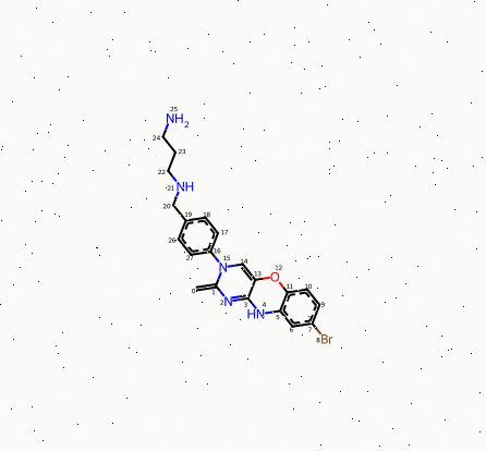 C=C1N=C2Nc3cc(Br)ccc3OC2=CN1c1ccc(CNCCCN)cc1